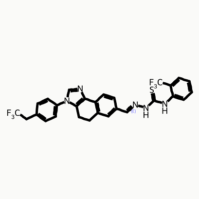 FC(F)(F)Cc1ccc(-n2cnc3c2CCc2cc(/C=N/NC(=S)Nc4ccccc4C(F)(F)F)ccc2-3)cc1